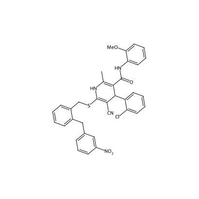 COc1ccccc1NC(=O)C1=C(C)NC(SCc2ccccc2Cc2cccc([N+](=O)[O-])c2)=C(C#N)C1c1ccccc1Cl